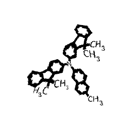 Cc1ccc2cc(N(c3ccc4c(c3)C(C)(C)c3ccccc3-4)c3ccc4c(c3)C(C)(C)c3ccccc3-4)ccc2c1